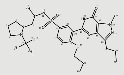 [2H]C(CC1CCCN1C([2H])([2H])[2H])NS(=O)(=O)c1ccc(OCCC)c(-c2nc3c(CCC)nn(C)c3c(=O)[nH]2)c1